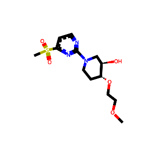 COCCO[C@@H]1CCN(c2nccc(S(C)(=O)=O)n2)C[C@H]1O